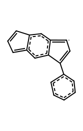 [C]1=c2cc3c(cc2C(c2ccccc2)=C1)=CC=C3